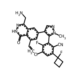 C=Cc1cc(-c2cnn(C)c2-c2c(F)c(Cl)cc(C3(F)CCC3)c2C#N)cc2c(CN)n[nH]c(=O)c12